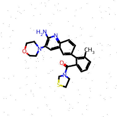 Cc1cccc(C(=O)N2CCSC2)c1-c1ccc2nc(N)c(N3CCOCC3)cc2c1